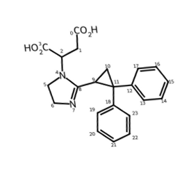 O=C(O)CC(C(=O)O)N1CCN=C1C1CC1(c1ccccc1)c1ccccc1